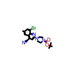 Cc1cc(Br)c2nc(N3CCN(C(=O)OC(C)(C)C)CC3)cc(C#N)c2c1